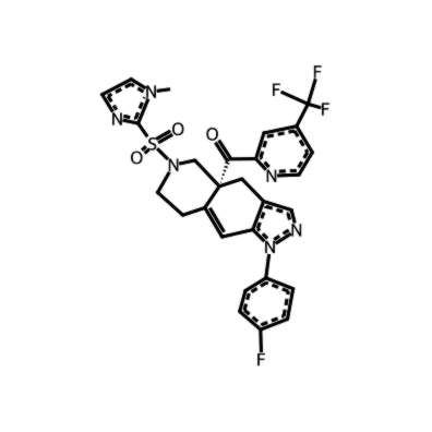 Cn1ccnc1S(=O)(=O)N1CCC2=Cc3c(cnn3-c3ccc(F)cc3)C[C@]2(C(=O)c2cc(C(F)(F)F)ccn2)C1